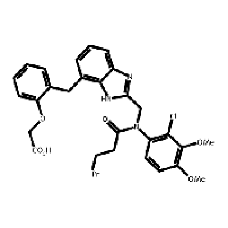 COc1ccc(N(Cc2nc3cccc(Cc4ccccc4OCC(=O)O)c3[nH]2)C(=O)CCC(C)C)c(Cl)c1OC